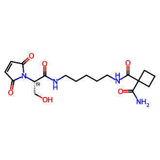 NC(=O)C1(C(=O)NCCCCCNC(=O)[C@H](CO)N2C(=O)C=CC2=O)CCC1